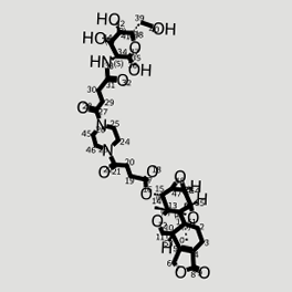 C[C@]12CCC3=C(COC3=O)[C@@H]1CO[C@]1(C)[C@H](OC(=O)CCC(=O)N3CCN(C(=O)CCC(=O)N[C@@H]4C(O)O[C@@H](CO)[C@H](O)[C@H]4O)CC3)C3O[C@H]3[C@@H]3O[C@]321